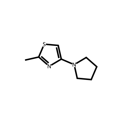 Cc1nc(N2CCCC2)cs1